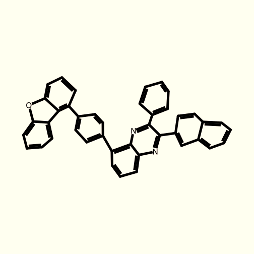 c1ccc(-c2nc3c(-c4ccc(-c5cccc6oc7ccccc7c56)cc4)cccc3nc2-c2ccc3ccccc3c2)cc1